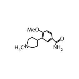 COc1ccc(C(N)=O)cc1C1CCN(C)CC1